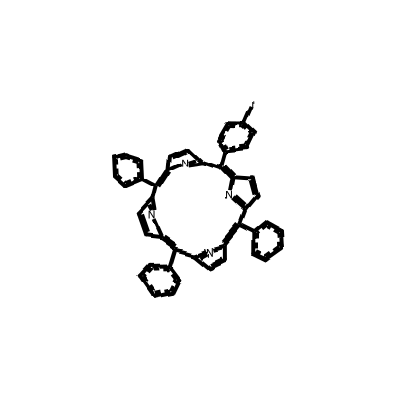 Ic1ccc(C2=C3C=CC(=N3)C(c3ccccc3)=C3C=CC(=N3)C(c3ccccc3)=C3C=CC(=N3)C(c3ccccc3)=C3C=CC2=N3)cc1